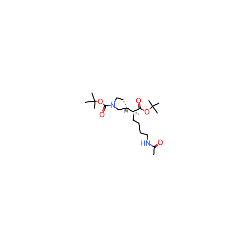 CC(=O)NCCCC[C@H](C(=O)OC(C)(C)C)[C@H]1CCN(C(=O)OC(C)(C)C)C1